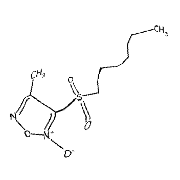 CCCCCS(=O)(=O)c1c(C)no[n+]1[O-]